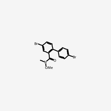 CON(C)C(=O)c1cc(Br)ccc1-c1ccc(Br)cc1